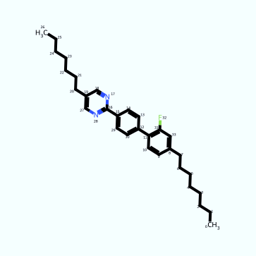 CCCCCCCCc1ccc(-c2ccc(-c3ncc(CCCCCCC)cn3)cc2)c(F)c1